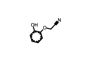 N#CCOc1ccccc1O